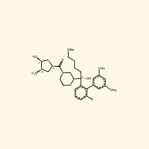 COCCCC[C@@](O)(c1cccc(F)c1-c1cc(OC)cc(OC)c1)C1CN(C(=O)[C@H]2C[C@@H](N)[C@@H](O)C2)CCO1